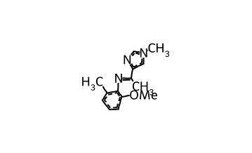 COc1cccc(C)c1N=C(C)c1cn(C)cn1